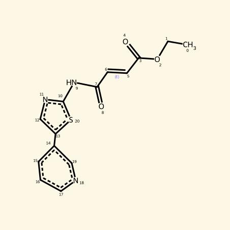 CCOC(=O)/C=C/C(=O)Nc1ncc(-c2cccnc2)s1